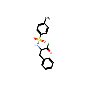 Cc1ccc(S(=O)(=O)NC(Cc2ccccc2)C(=O)Cl)cc1